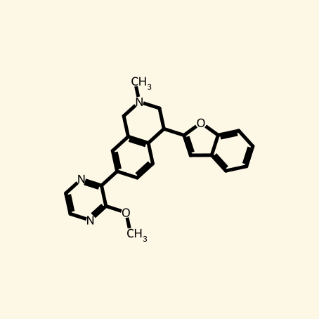 COc1nccnc1-c1ccc2c(c1)CN(C)CC2c1cc2ccccc2o1